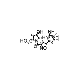 N=C(N)NC(CS)CCC(N=O)C(=O)N1CC(O)C[C@H]1C(=O)O